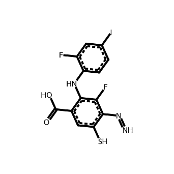 N=Nc1c(S)cc(C(=O)O)c(Nc2ccc(I)cc2F)c1F